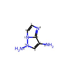 Nc1cn(N)n2ccnc12